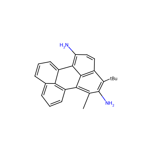 Cc1c(N)c(C(C)(C)C)c2ccc(N)c3c4cccc5cccc(c1c23)c54